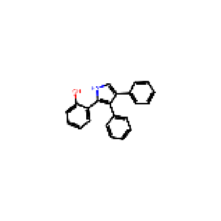 Oc1ccccc1-c1[nH]cc(-c2ccccc2)c1-c1ccccc1